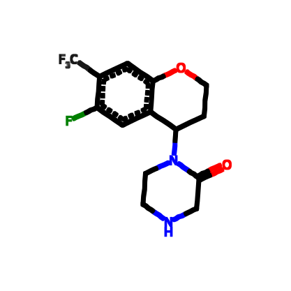 O=C1CNCCN1C1CCOc2cc(C(F)(F)F)c(F)cc21